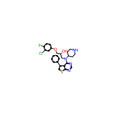 OC(COc1ccc(F)c(Cl)c1)CN(c1ncnc2scc(-c3ccccc3)c12)C1CCNCC1